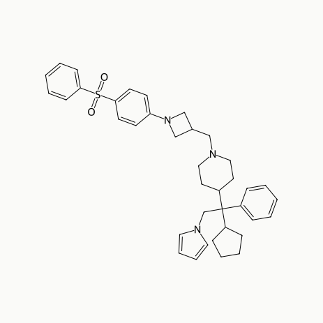 O=S(=O)(c1ccccc1)c1ccc(N2CC(CN3CCC(C(Cn4cccc4)(c4ccccc4)C4CCCC4)CC3)C2)cc1